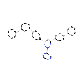 c1ccc(-c2ccc(-c3cc(-c4ccc(-c5cccc(-c6ccccc6)c5)cc4)nc(-c4cnc[nH]4)n3)cc2)cc1